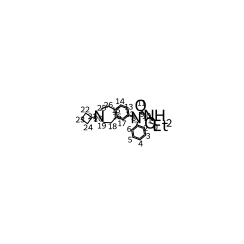 CCOc1ccccc1N(C(N)=O)c1ccc2c(c1)CCN(C1CCC1)CC2